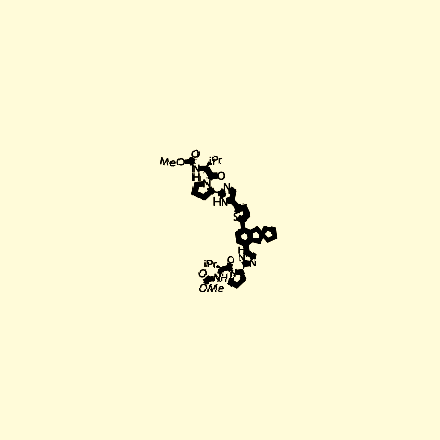 COC(=O)N[C@H](C(=O)N1CCC[C@H]1c1ncc(-c2ccc(-c3ccc(-c4cnc([C@@H]5CCCN5C(=O)[C@@H](NC(=O)OC)C(C)C)[nH]4)c4c3CC3(CCCC3)C4)s2)[nH]1)C(C)C